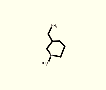 NCC1CCCN(C(=O)O)C1